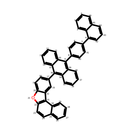 c1ccc2c(-c3ccc(-c4c5ccccc5c(-c5ccc6oc7ccc8ccccc8c7c6c5)c5ccccc45)cc3)cccc2c1